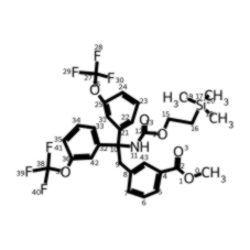 COC(=O)c1cccc(CC(NC(=O)OCC[Si](C)(C)C)(c2cccc(OC(F)(F)F)c2)c2cccc(OC(F)(F)F)c2)c1